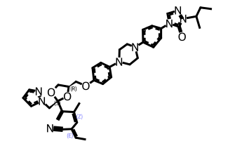 C=C(/C(C)=C\C(C#N)=C/C)[C@]1(Cn2cccn2)OC[C@@H](COc2ccc(N3CCN(c4ccc(-n5cnn(C(C)CC)c5=O)cc4)CC3)cc2)O1